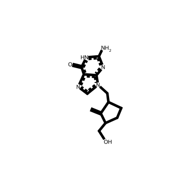 C=C1C(CO)CCC1Cn1cnc2c(=O)[nH]c(N)nc21